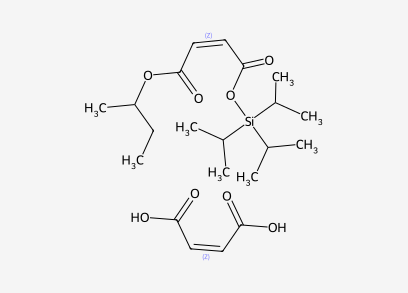 CCC(C)OC(=O)/C=C\C(=O)O[Si](C(C)C)(C(C)C)C(C)C.O=C(O)/C=C\C(=O)O